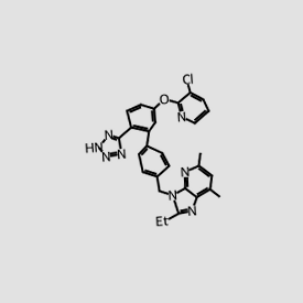 CCc1nc2c(C)cc(C)nc2n1Cc1ccc(-c2cc(Oc3ncccc3Cl)ccc2-c2nn[nH]n2)cc1